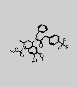 CCOC(=O)N1c2cc(OC)c(OC)cc2C(N(Cc2ccccc2)C(=O)Cc2ccc(C(F)(F)F)cc2)CC1C